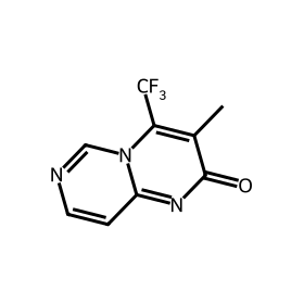 Cc1c(C(F)(F)F)n2cnccc2nc1=O